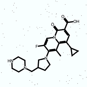 Cc1c(N2CCC(CN3CCNCC3)C2)c(F)cn2c(=O)c(C(=O)O)cc(C3CC3)c12